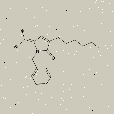 CCCCCCC1=CC(=C(Br)Br)N(Cc2ccccc2)C1=O